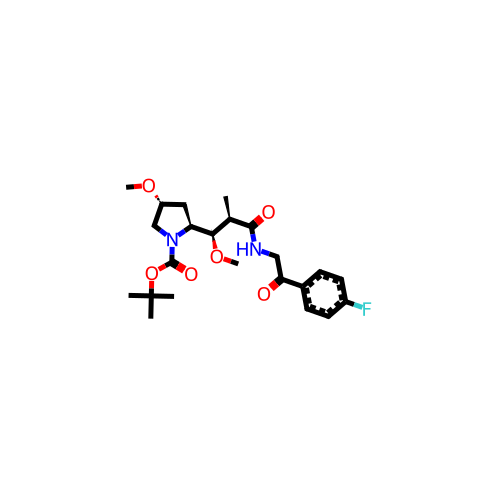 CO[C@@H]1C[C@@H]([C@H](OC)[C@@H](C)C(=O)NCC(=O)c2ccc(F)cc2)N(C(=O)OC(C)(C)C)C1